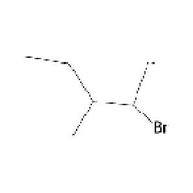 [CH2]C(Br)C(C)CC